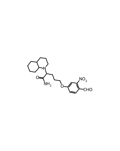 NC(=O)C(CCCOc1ccc(C=O)c([N+](=O)[O-])c1)N1CCCC2CCCCC21